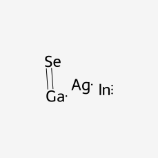 [Ag].[Ga]=[Se].[In]